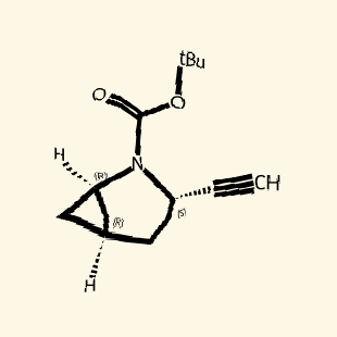 C#C[C@@H]1C[C@H]2C[C@H]2N1C(=O)OC(C)(C)C